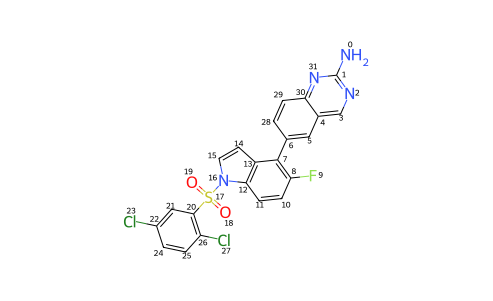 Nc1ncc2cc(-c3c(F)ccc4c3ccn4S(=O)(=O)c3cc(Cl)ccc3Cl)ccc2n1